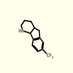 FC(F)(F)c1ccc2c(c1)CC1CCCNC21